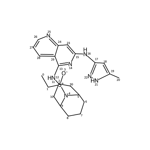 CC[S+]([O-])N1C2CCCC1CC(Nc1nc(Nc3cc(C)[nH]n3)cc3ncccc13)C2